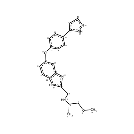 COC[C@H](C)NCc1nc2cc(Oc3ccc(-c4ccn[nH]4)cc3)ccc2[nH]1